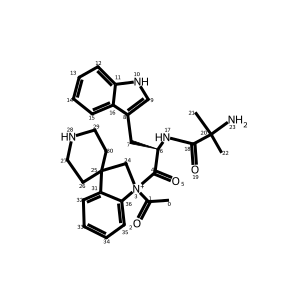 CC(=O)[N+]1(C(=O)[C@@H](Cc2c[nH]c3ccccc23)NC(=O)C(C)(C)N)CC2(CCNCC2)c2ccccc21